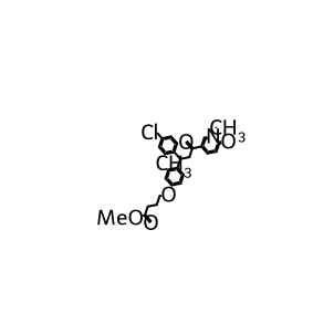 COC(=O)CCCOc1ccc(C(CC(=O)c2ccc(=O)n(C)c2)c2ccc(Cl)cc2C)cc1